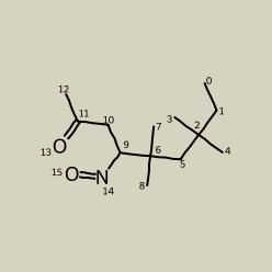 CCC(C)(C)CC(C)(C)C(CC(C)=O)N=O